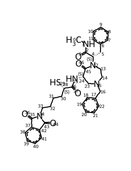 CNC(=O)[C@H](Cc1ccccc1)N1CCN(Cc2ccccc2)C[C@H](NC(=O)[C@@H](S)CCCCN2C(=O)c3ccccc3C2=O)C1=O